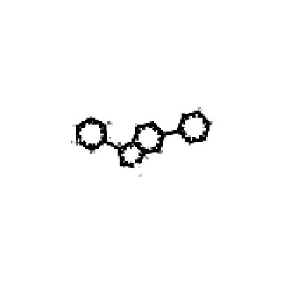 c1ccc(-c2ccc3c(-c4cccnc4)coc3c2)cc1